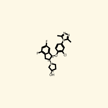 Cc1nnc(C)n1-c1ccc(O[C@@H]2c3cc(F)cc(F)c3C[C@@H]2N2CC[C@@H](O)C2)c(Cl)c1